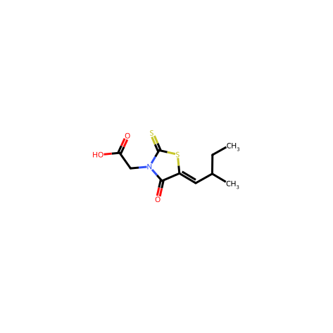 CCC(C)C=C1SC(=S)N(CC(=O)O)C1=O